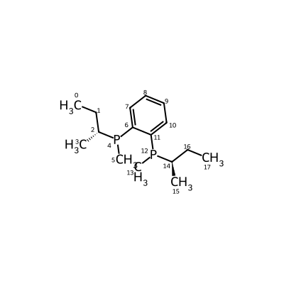 CC[C@@H](C)P(C)c1ccccc1P(C)[C@H](C)CC